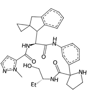 CC[C@H](CO)NC(=O)C1(c2cccc(NC(=O)[C@@H](NC(=O)c3ccnn3C)C3c4ccccc4CC34CC4)c2)CCCN1